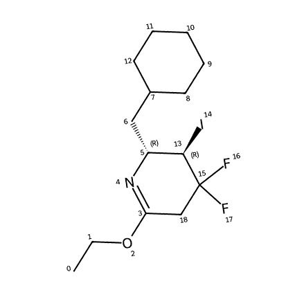 CCOC1=N[C@H](CC2CCCCC2)[C@@H](I)C(F)(F)C1